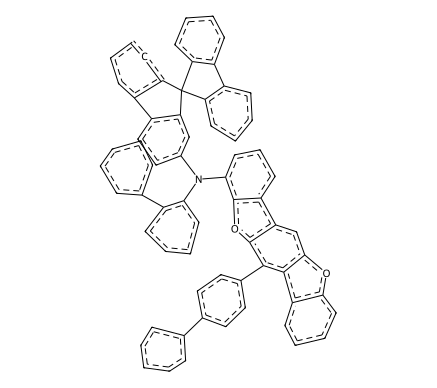 c1ccc(-c2ccc(-c3c4oc5c(N(c6ccc7c(c6)C6(c8ccccc8-c8ccccc86)c6ccccc6-7)c6ccccc6-c6ccccc6)cccc5c4cc4oc5ccccc5c34)cc2)cc1